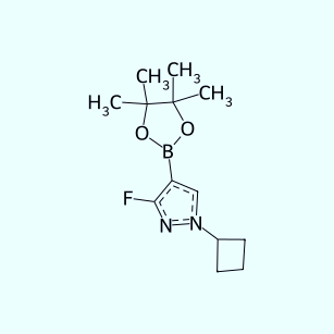 CC1(C)OB(c2cn(C3CCC3)nc2F)OC1(C)C